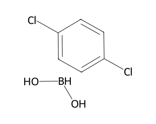 Clc1ccc(Cl)cc1.OBO